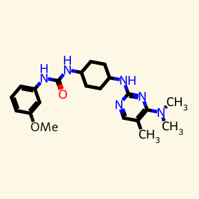 COc1cccc(NC(=O)NC2CCC(Nc3ncc(C)c(N(C)C)n3)CC2)c1